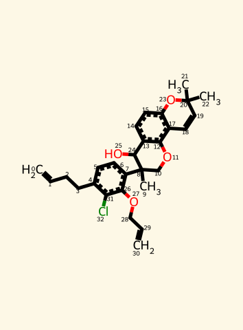 C=CCCc1ccc(C2(C)COc3c(ccc4c3C=CC(C)(C)O4)C2O)c(OCC=C)c1Cl